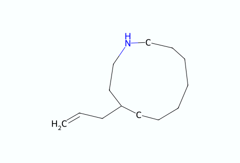 C=CCC1CCCCCCCNCC1